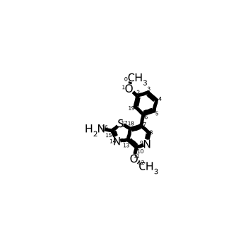 COc1cccc(-c2cnc(OC)c3nc(N)sc23)c1